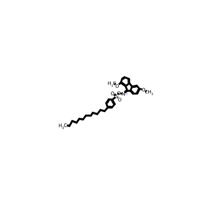 CCCCCCCCCCCCc1ccc(S(=O)(=O)O/N=C2/c3ccc(OC)cc3-c3cccc(OC)c32)cc1